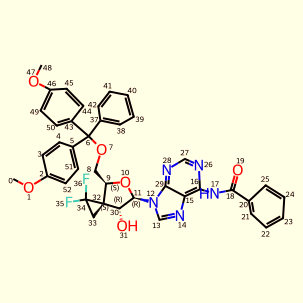 COc1ccc(C(OC[C@H]2O[C@@H](n3cnc4c(NC(=O)c5ccccc5)ncnc43)[C@H](O)[C@@]23CC3(F)F)(c2ccccc2)c2ccc(OC)cc2)cc1